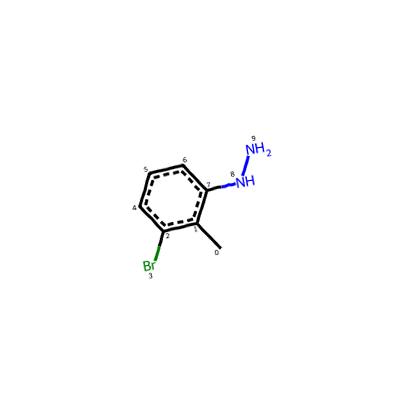 Cc1c(Br)cccc1NN